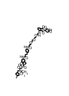 C[C@H](N(Cc1ccc(F)cc1)C(=O)CN1C(=O)O[C@@]2(CCc3cc(NC(=O)CCc4ccc(NC(=O)C=COCCOCCOCCNc5cccc6c5C(=O)N(C5CCC(=O)NC5=O)C6=O)cc4)ccc32)C1=O)C(F)(F)F